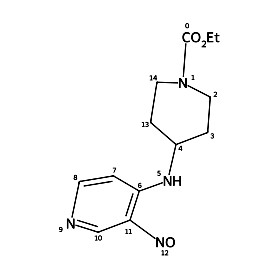 CCOC(=O)N1CCC(Nc2ccncc2N=O)CC1